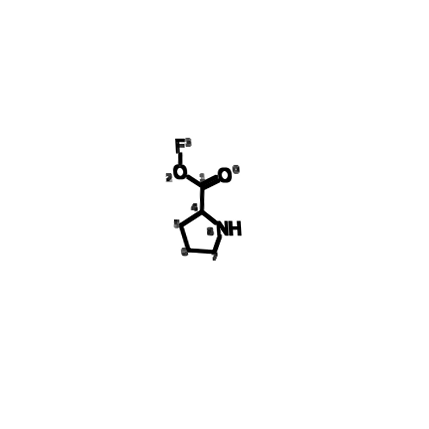 O=C(OF)C1CCCN1